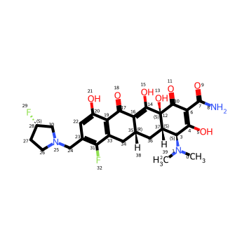 CN(C)[C@@H]1C(O)=C(C(N)=O)C(=O)[C@@]2(O)C(O)=C3C(=O)c4c(O)cc(CN5CC[C@H](F)C5)c(F)c4C[C@H]3C[C@@H]12